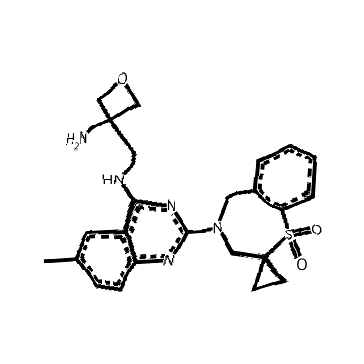 Cc1ccc2nc(N3Cc4ccccc4S(=O)(=O)C4(CC4)C3)nc(NCC3(N)COC3)c2c1